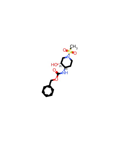 CS(=O)(=O)N1CC[C@@H](NC(=O)OCc2ccccc2)[C@H](O)C1